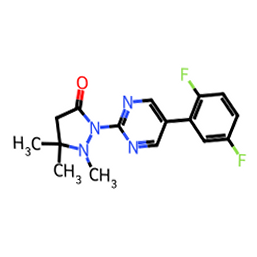 CN1N(c2ncc(-c3cc(F)ccc3F)cn2)C(=O)CC1(C)C